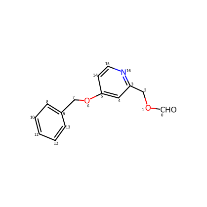 O=COCc1cc(OCc2ccccc2)ccn1